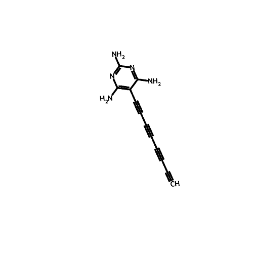 C#CC#CC#CC#Cc1c(N)nc(N)nc1N